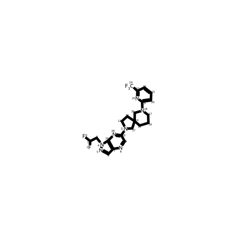 FC(F)Cn1ncc2ncc(N3CCC4(CCCN(c5cccc(C(F)(F)F)n5)C4)C3)nc21